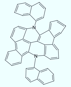 c1ccc2c(-n3c4cccc5c6ccccc6c6c(c54)-c4c5c(cccc5n6-c5cccc6ccccc56)c5ccccc5c43)cccc2c1